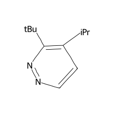 CC(C)c1ccnnc1C(C)(C)C